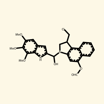 COc1cc2cc(C(O)N3CC(CCl)c4c3cc(OC=O)c3ccccc43)[nH]c2c(OC)c1OC